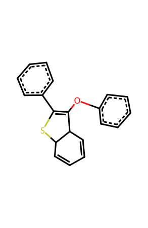 C1=CC2SC(c3ccccc3)=C(Oc3ccccc3)C2C=C1